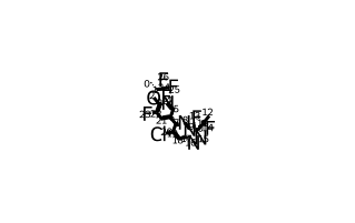 C[C@@H](Oc1ncc(-c2nn3c(C(C)(F)F)nnc3cc2Cl)cc1F)C(F)(F)F